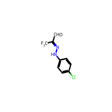 O=CC(=NNc1ccc(Cl)cc1)C(F)(F)F